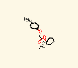 CCC(C)c1ccc(OCC(=O)OC2(C)CCCCC2)cc1